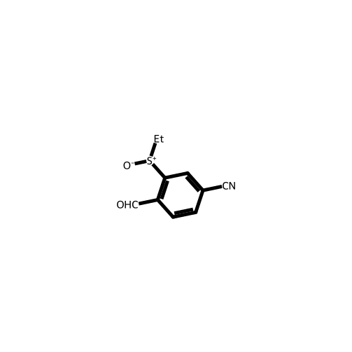 CC[S+]([O-])c1cc(C#N)ccc1C=O